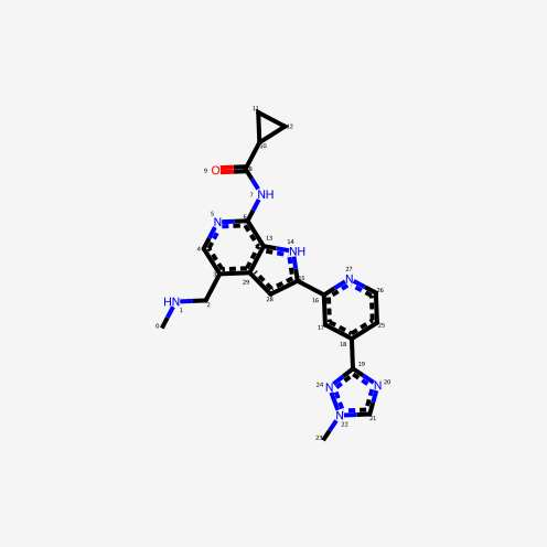 CNCc1cnc(NC(=O)C2CC2)c2[nH]c(-c3cc(-c4ncn(C)n4)ccn3)cc12